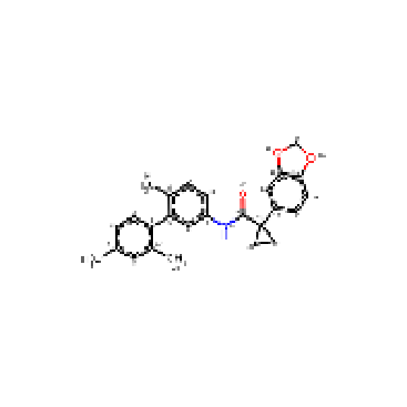 Cc1ccc(-c2cc(NC(=O)C3(c4ccc5c(c4)OCO5)CC3)ccc2C)c(C)c1